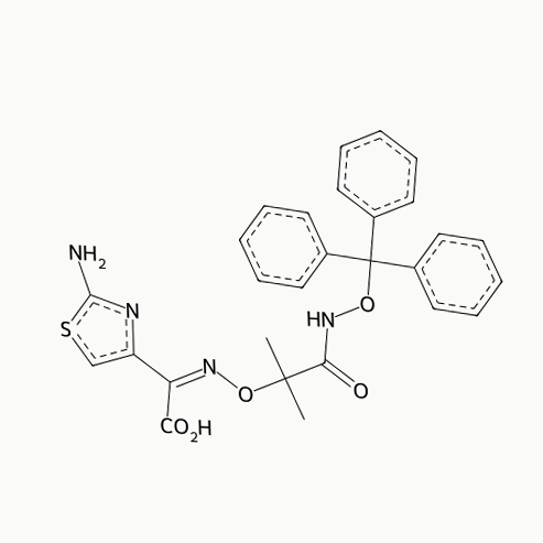 CC(C)(O/N=C(\C(=O)O)c1csc(N)n1)C(=O)NOC(c1ccccc1)(c1ccccc1)c1ccccc1